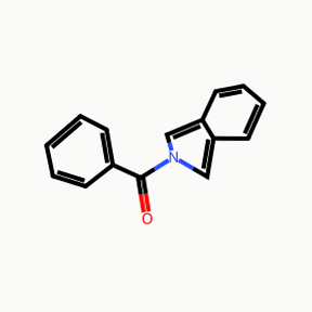 O=C(c1ccccc1)n1cc2ccccc2c1